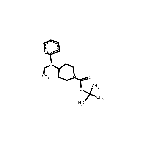 CCN(c1ccccn1)C1CCN(C(=O)OC(C)(C)C)CC1